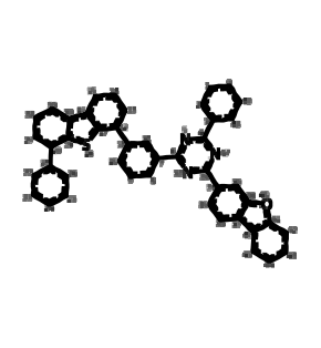 c1ccc(-c2nc(-c3cccc(-c4cccc5c4sc4c(-c6ccccc6)cccc45)c3)nc(-c3ccc4c(c3)oc3ccccc34)n2)cc1